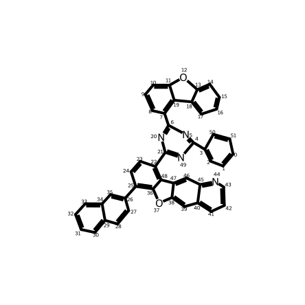 c1ccc(-c2nc(-c3cccc4oc5ccccc5c34)nc(-c3ccc(-c4ccc5ccccc5c4)c4oc5cc6cccnc6cc5c34)n2)cc1